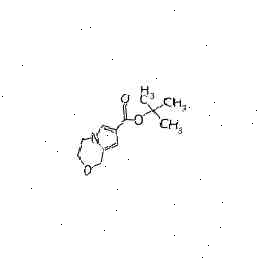 CC(C)(C)OC(=O)c1cc2n(c1)CCOC2